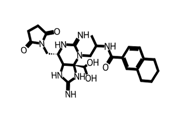 CC(CN1C(=N)N[C@@H](CN2C(=O)CCC2=O)C2NC(=N)N[C@]21C(O)O)NC(=O)c1ccc2c(c1)CCCC2